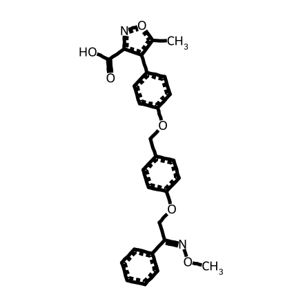 CON=C(COc1ccc(COc2ccc(-c3c(C(=O)O)noc3C)cc2)cc1)c1ccccc1